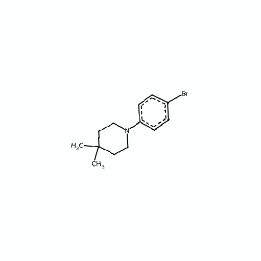 CC1(C)CCN(c2ccc(Br)cc2)CC1